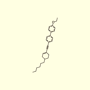 CCCCCCC1CC=C(C#Cc2ccc(-c3ccc(OCC)cc3)cc2)CC1